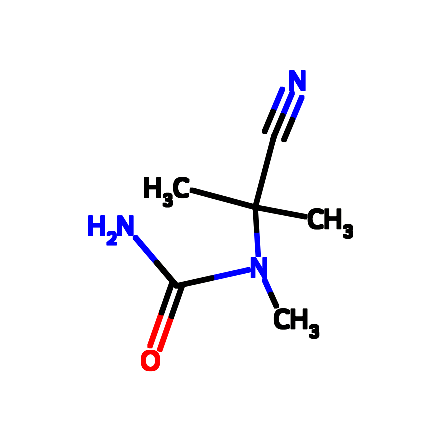 CN(C(N)=O)C(C)(C)C#N